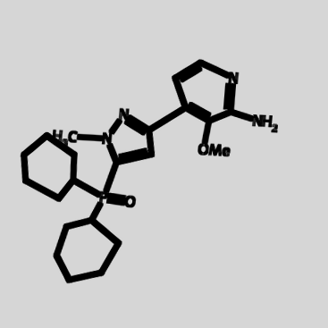 COc1c(-c2cc(P(=O)(C3CCCCC3)C3CCCCC3)n(C)n2)ccnc1N